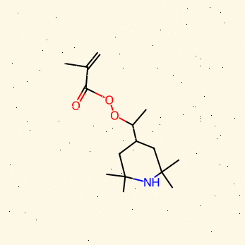 C=C(C)C(=O)OOC(C)C1CC(C)(C)NC(C)(C)C1